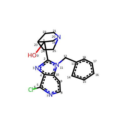 OC1(c2nc3c(Cl)nccc3n2Cc2ccccc2)CN2CCC1CC2